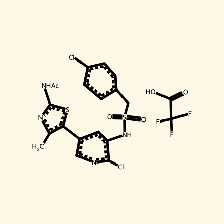 CC(=O)Nc1nc(C)c(-c2cnc(Cl)c(NS(=O)(=O)Cc3ccc(Cl)cc3)c2)s1.O=C(O)C(F)(F)F